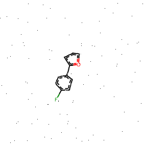 Fc1ccc(-c2cc[c]o2)cc1